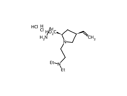 C=C[C@@H]1C[C@H](C(=O)O)N(CCN(CC)CC)C1.CC(N)=O.Cl.Cl